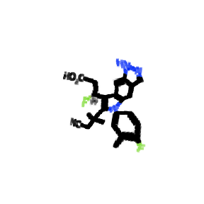 Cc1cc(-n2c(C(C)(C)CC#N)c([C@H](F)CC(=O)O)c3cc4[nH]ncc4cc32)ccc1F